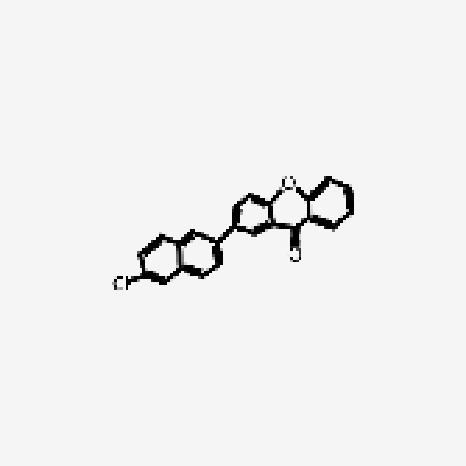 O=c1c2ccccc2oc2ccc(-c3ccc4cc(Cl)ccc4c3)cc12